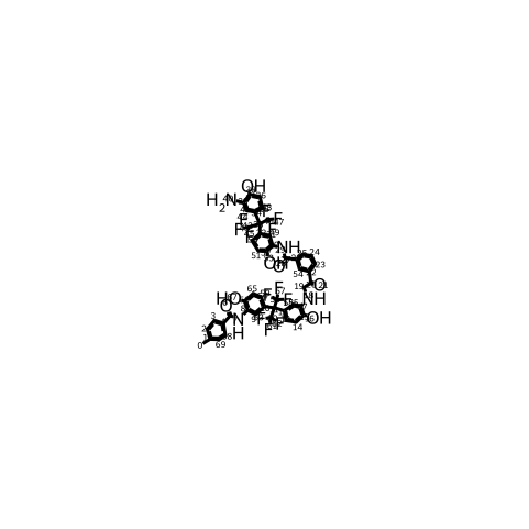 Cc1ccc(C(=O)Nc2cc(C(c3ccc(O)c(NCC(=O)c4cccc(C(=O)Nc5cc(C(c6ccc(O)c(N)c6)(C(F)(F)F)C(F)(F)F)ccc5O)c4)c3)(C(F)(F)F)C(F)(F)F)ccc2O)cc1